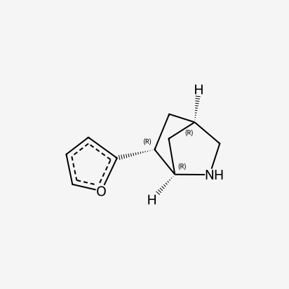 c1coc([C@@H]2C[C@H]3CN[C@@H]2C3)c1